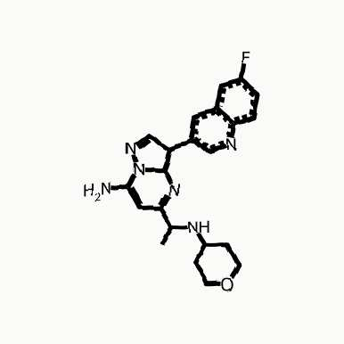 CC(NC1CCOCC1)C1=NC2C(c3cnc4ccc(F)cc4c3)C=NN2C(N)=C1